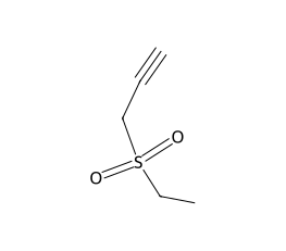 C#CCS(=O)(=O)CC